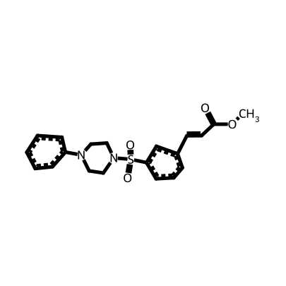 COC(=O)/C=C/c1cccc(S(=O)(=O)N2CCN(c3ccccc3)CC2)c1